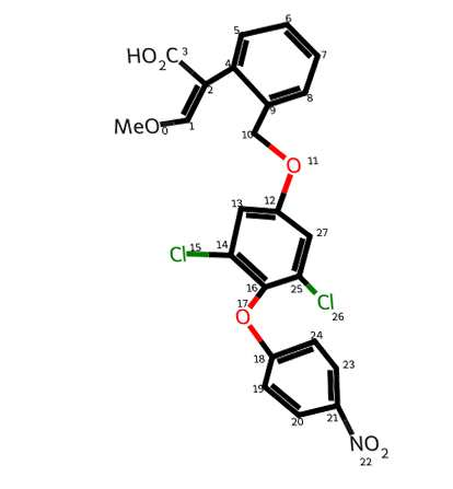 COC=C(C(=O)O)c1ccccc1COc1cc(Cl)c(Oc2ccc([N+](=O)[O-])cc2)c(Cl)c1